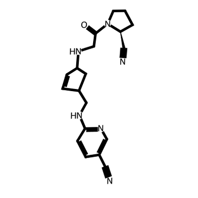 N#Cc1ccc(NCC2C=CC(NCC(=O)N3CCC[C@H]3C#N)C2)nc1